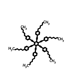 CCCCCCc1ccc(C#Cc2c(C#Cc3ccc(CCCCCC)cc3)c(C#Cc3ccc(CCCCCC)cc3)c(C#Cc3ccc(CCCCCC)cc3)c(C#Cc3ccc(CCCCCC)cc3)c2C#Cc2ccc(CCCCCC)cc2)cc1